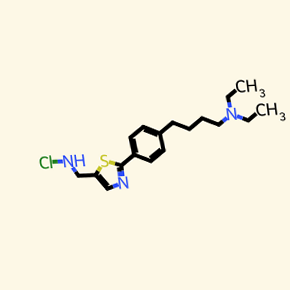 CCN(CC)CCCCc1ccc(-c2ncc(CNCl)s2)cc1